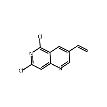 C=Cc1cnc2cc(Cl)nc(Cl)c2c1